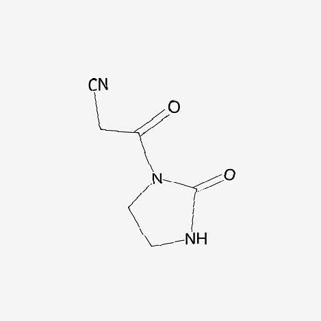 N#CCC(=O)N1CCNC1=O